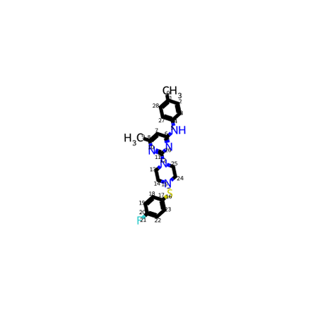 Cc1ccc(Nc2cc(C)nc(N3CCN(Sc4ccc(F)cc4)CC3)n2)cc1